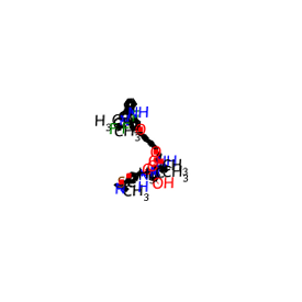 Cc1ncsc1-c1ccc(CNC(=O)[C@@H]2C[C@@H](O)CN2C(=O)[C@@H](NC(=O)COCC#CC#CCOc2cc(F)c([C@@H]3c4[nH]c5ccccc5c4C[C@@H](C)N3CC(C)(C)F)c(F)c2)C(C)(C)C)cc1